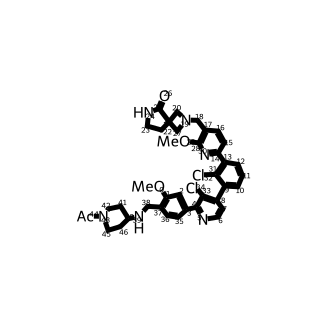 COc1cc(-c2nccc(-c3cccc(-c4ccc(CN5CC6(CCNC6=O)C5)c(OC)n4)c3Cl)c2Cl)ccc1CNC1CCN(C(C)=O)CC1